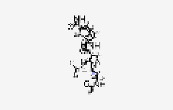 CC(=O)NC(C)(C)/C=C/n1ncc(C(=O)N[C@H]2C3CC4CC2C[C@](C(N)=O)(C4)C3)c1OCC(C)C